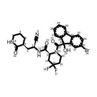 N#C[C@H](C[C@@H]1CCCNC1=O)NC(=O)[C@@H]1CC(F)(F)CCN1C(=O)C1(O)c2ccccc2-c2ccc(Br)cc21